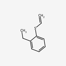 C=CSc1ccccc1CC